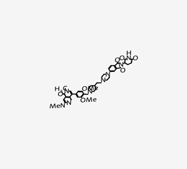 CNc1cc2c(=O)n(C)cc(-c3cc(OC)c(CN4CCC(CCN5CCN(c6ccc7c(c6)C(=O)N(C6CCC(=O)NC6=O)C7=O)CC5)CC4)c(OC)c3)c2cn1